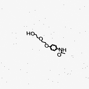 CC(=O)Nc1ccc(OCCOCCO)cc1